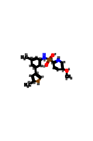 COc1ccc(S(=O)(=O)Nc2cc(C)cc(-c3csc(C)c3)c2)nc1